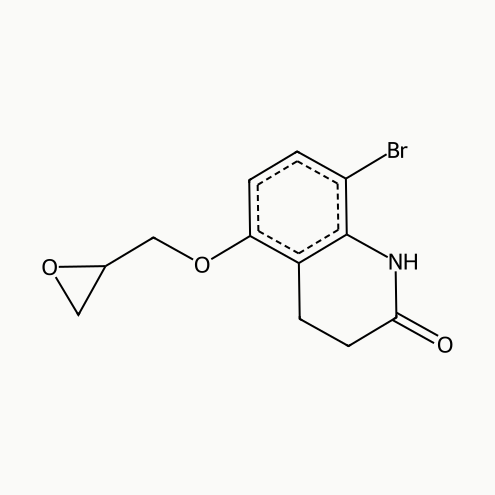 O=C1CCc2c(OCC3CO3)ccc(Br)c2N1